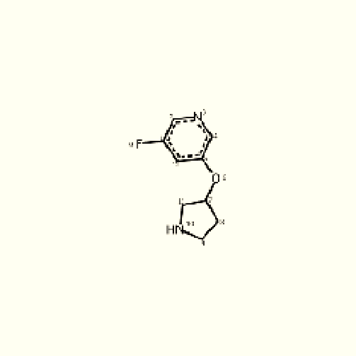 Fc1cncc(OC2CCNC2)c1